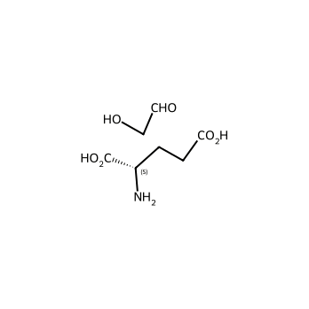 N[C@@H](CCC(=O)O)C(=O)O.O=CCO